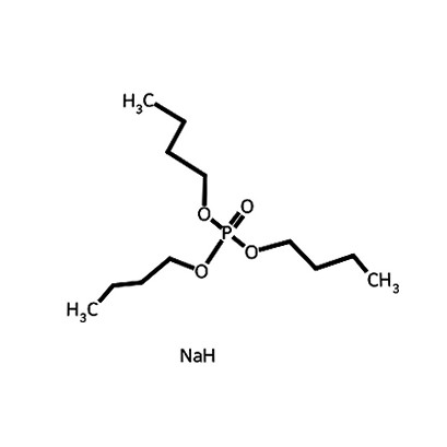 CCCCOP(=O)(OCCCC)OCCCC.[NaH]